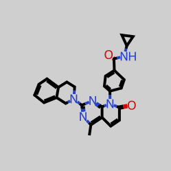 Cc1nc(N2CCc3ccccc3C2)nc2c1ccc(=O)n2-c1ccc(C(=O)NC2CC2)cc1